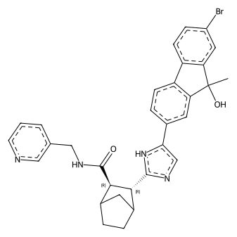 CC1(O)c2cc(Br)ccc2-c2ccc(-c3cnc([C@@H]4C5CCC(C5)[C@H]4C(=O)NCc4cccnc4)[nH]3)cc21